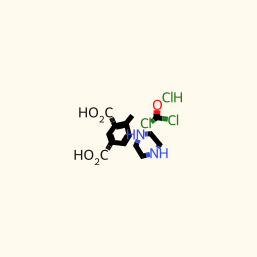 C1CNCCN1.Cc1ccc(C(=O)O)cc1C(=O)O.Cl.O=C(Cl)Cl